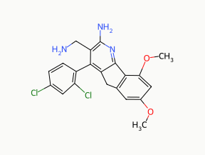 COc1cc2c(c(OC)c1)-c1nc(N)c(CN)c(-c3ccc(Cl)cc3Cl)c1C2